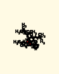 CC(C)=CCC1=C2OC(C)(C)[C@@H](CC=C(C)C)C[C@@]23C[C@@H](CC=C(C)C)C(C)(C)[C@@](C(=O)c2ccccc2)(C1=O)C3=O